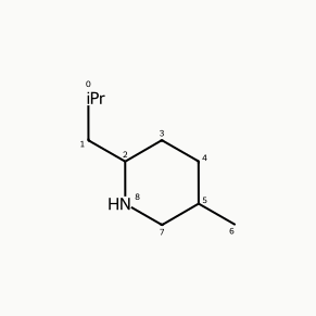 CC(C)CC1CCC(C)CN1